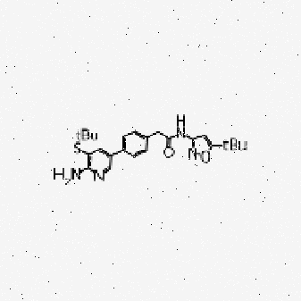 CC(C)(C)Sc1cc(-c2ccc(CC(=O)Nc3cc(C(C)(C)C)on3)cc2)cnc1N